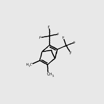 CC1=C(C)C2CC1C(C(F)(F)F)=C2C(F)(F)F